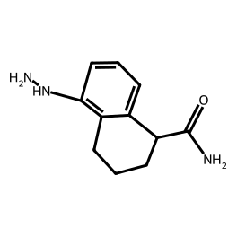 NNc1cccc2c1CCCC2C(N)=O